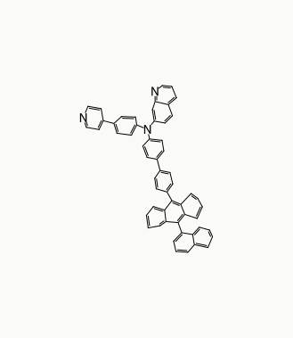 c1cnc2cc(N(c3ccc(-c4ccncc4)cc3)c3ccc(-c4ccc(-c5c6ccccc6c(-c6cccc7ccccc67)c6ccccc56)cc4)cc3)ccc2c1